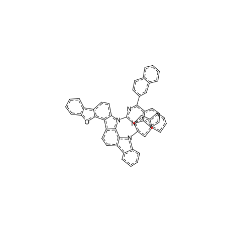 c1ccc2cc(-c3nc(-n4c5ccc6c7ccccc7oc6c5c5ccc6c7ccccc7n(-c7ccc8ccccc8c7)c6c54)nc4ccccc34)ccc2c1